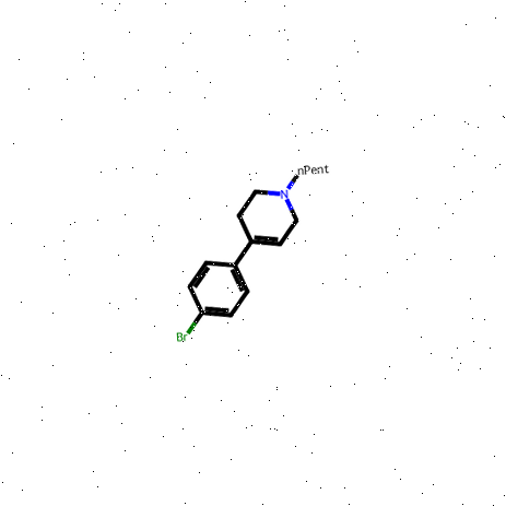 CCCCCN1CC=C(c2ccc(Br)cc2)CC1